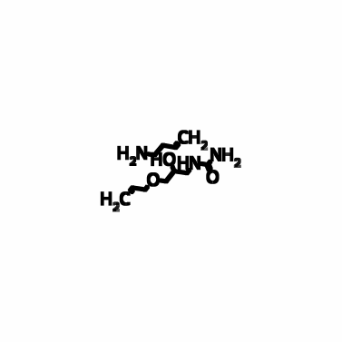 C=CCCN.C=CCOCC(O)CNC(N)=O